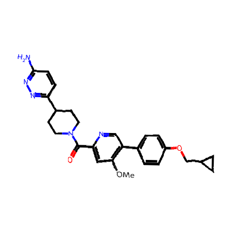 COc1cc(C(=O)N2CCC(c3ccc(N)nn3)CC2)ncc1-c1ccc(OCC2CC2)cc1